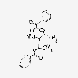 CCCCC(C(C)OC(=O)C(=O)c1ccccc1)C(C)OC(=O)c1ccccc1